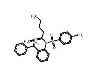 C=C=C(CCCC)N(c1ccccc1C(=C)c1ccccc1)S(=O)(=O)c1ccc(C)cc1